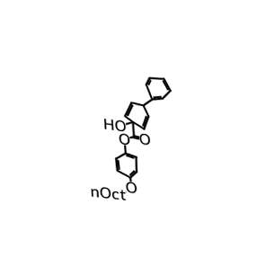 CCCCCCCCOc1ccc(OC(=O)C2(O)C=CC(c3ccccc3)C=C2)cc1